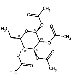 CC[C@H]1O[C@@H](OC(C)=O)[C@H](OC(C)=O)[C@@H](OC(C)=O)[C@@H]1OC(C)=O